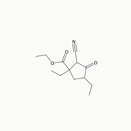 CCOC(=O)C1(CC)CC(CC)C(=O)C1C#N